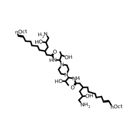 CCCCCCCCC=CCCCCCC(CC(=O)NC(C(C)O)N1CCN(C(NC(=O)CC(CCCCCC=CCCCCCCCC)CC(O)CN)C(C)O)CC1)CC(O)CN